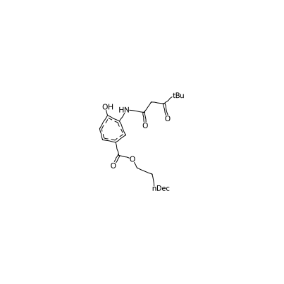 CCCCCCCCCCCCOC(=O)c1ccc(O)c(NC(=O)CC(=O)C(C)(C)C)c1